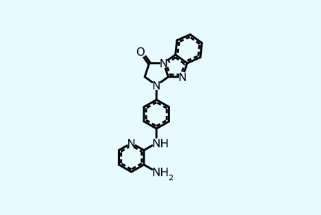 Nc1cccnc1Nc1ccc(N2CC(=O)n3c2nc2ccccc23)cc1